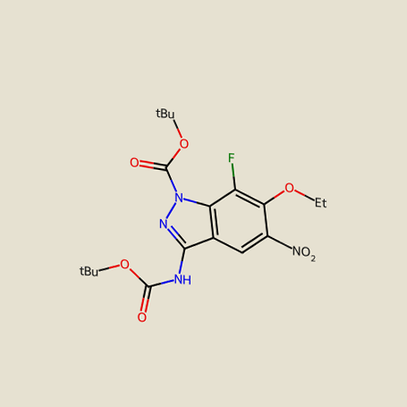 CCOc1c([N+](=O)[O-])cc2c(NC(=O)OC(C)(C)C)nn(C(=O)OC(C)(C)C)c2c1F